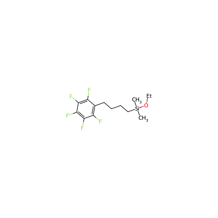 CCO[Si](C)(C)CCCCc1c(F)c(F)c(F)c(F)c1F